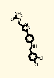 NC(=O)OCc1cc(-c2ccc(NCc3ccc(Cl)c(Cl)c3)cc2)no1